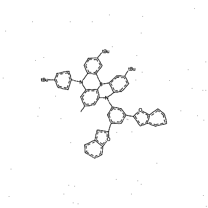 Cc1cc2c3c(c1)N(c1cc(-c4cc5ccccc5o4)cc(-c4cc5ccccc5o4)c1)c1ccc(C(C)(C)C)cc1B3c1cc(C(C)(C)C)ccc1N2c1ccc(C(C)(C)C)cc1